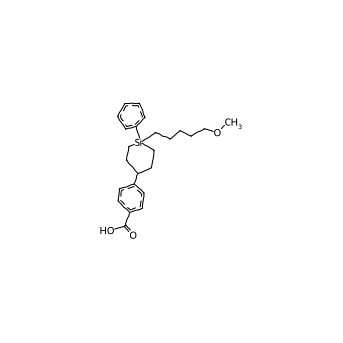 COCCCCC[Si]1(c2ccccc2)CCC(c2ccc(C(=O)O)cc2)CC1